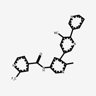 Cc1ncc(NC(=O)c2ccnc(C(F)(F)F)c2)cc1-c1cnc(-c2cccnc2)c(C#N)c1